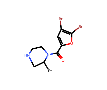 CCC1CNCCN1C(=O)c1cc(Br)c(Br)o1